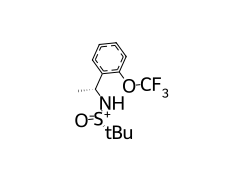 C[C@@H](N[S@+]([O-])C(C)(C)C)c1ccccc1OC(F)(F)F